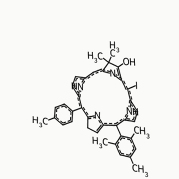 Cc1ccc(-c2c3nc(c(-c4c(C)cc(C)cc4C)c4ccc([nH]4)c(I)c4nc(cc5ccc2[nH]5)C(C)(C)C=4O)=CC3)cc1